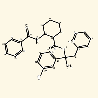 NC(Cc1ccccn1)(OC(=O)C1CCCCC1NC(=O)c1ccccc1)c1cc(Cl)ccn1